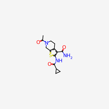 CC(=O)N1CCc2c(sc(NC(=O)C3CC3)c2C(N)=O)C1